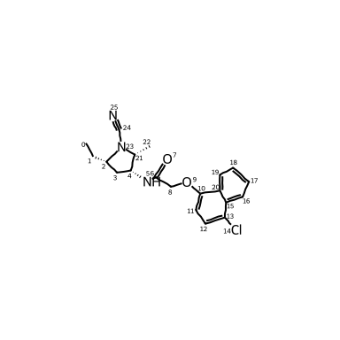 CC[C@H]1C[C@@H](NC(=O)COc2ccc(Cl)c3ccccc23)[C@@H](C)N1C#N